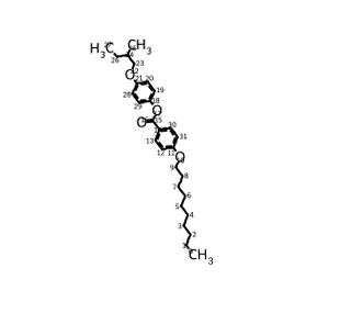 CCCCCCCCCCOc1ccc(C(=O)Oc2ccc(OCC(C)CC)cc2)cc1